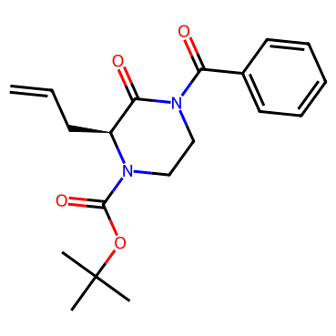 C=CC[C@H]1C(=O)N(C(=O)c2ccccc2)CCN1C(=O)OC(C)(C)C